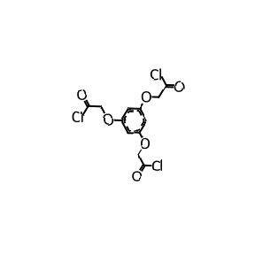 O=C(Cl)COc1cc(OCC(=O)Cl)cc(OCC(=O)Cl)c1